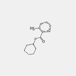 O=C(OC1CCCCC1)c1ccccc1S